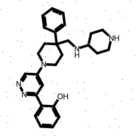 Oc1ccccc1-c1cc(N2CCC(CNC3CCNCC3)(c3ccccc3)CC2)cnn1